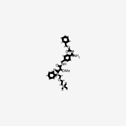 COC(C(=O)NCc1ccc(/C(N)=N\C(=O)OCc2ccccc2)cc1)c1nc2ccccc2n1COCC[Si](C)(C)C